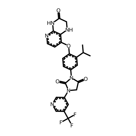 CC(C)c1cc(N2C(=O)CN(c3cncc(C(F)(F)F)c3)C2=O)ccc1Oc1ccnc2c1NCC(=O)N2